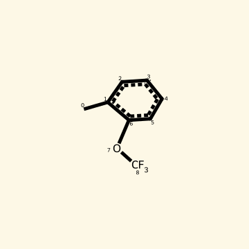 Cc1c[c]ccc1OC(F)(F)F